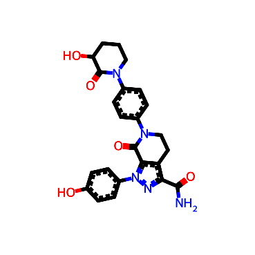 NC(=O)c1nn(-c2ccc(O)cc2)c2c1CCN(c1ccc(N3CCCC(O)C3=O)cc1)C2=O